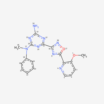 COc1cccnc1-c1nc(-c2nc(N)nc(N(C)c3ccccc3)n2)no1